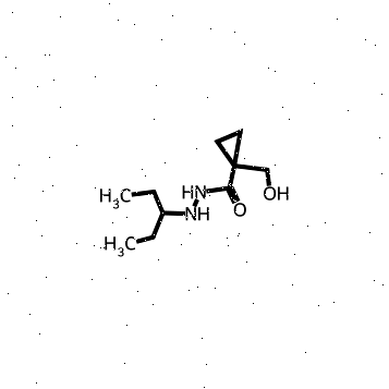 CCC(CC)NNC(=O)C1(CO)CC1